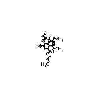 CCCCOC(=O)c1cc(O)c(OC(=O)CC)c(OC(=O)CC)c1C(=O)CC